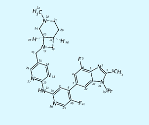 Cc1nc2c(F)cc(-c3cc(Nc4ncc(CN5C[C@@H]6CCN(C)C[C@@H]65)cn4)ncc3F)cc2n1C(C)C